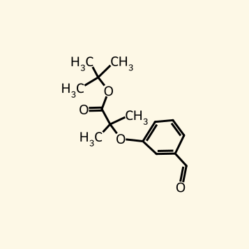 CC(C)(C)OC(=O)C(C)(C)Oc1cccc(C=O)c1